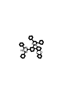 c1ccc(C2=NC(c3ccc(-c4cccc5c4Sc4ccccc4O5)c(-c4nc(-c5ccccc5)cc(-c5ccccc5)n4)c3)=NC(c3ccccc3)N2)cc1